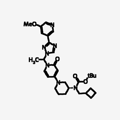 COc1cncc(-c2ncn(C(C)n3ccc(N4CCC[C@@H](N(CC5CCC5)C(=O)OC(C)(C)C)C4)cc3=O)n2)c1